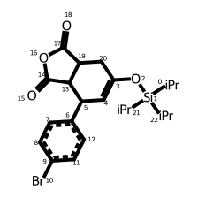 CC(C)[Si](OC1=CC(c2ccc(Br)cc2)C2C(=O)OC(=O)C2C1)(C(C)C)C(C)C